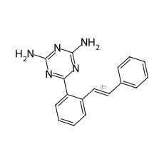 Nc1nc(N)nc(-c2ccccc2/C=C/c2ccccc2)n1